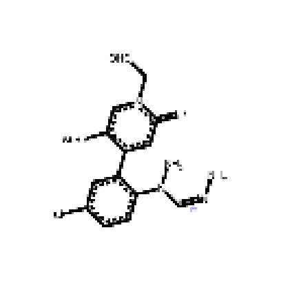 COc1cn(CC=O)c(=O)cc1-c1cc(Cl)ccc1N(N)/C=N\N